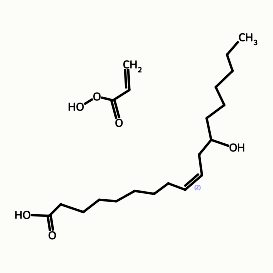 C=CC(=O)OO.CCCCCCC(O)C/C=C\CCCCCCCC(=O)O